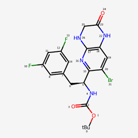 CC(C)(C)OC(=O)N[C@@H](Cc1cc(F)cc(F)c1)c1nc2c(cc1Br)NC(=O)CN2